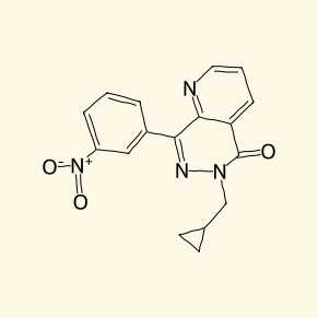 O=c1c2cccnc2c(-c2cccc([N+](=O)[O-])c2)nn1CC1CC1